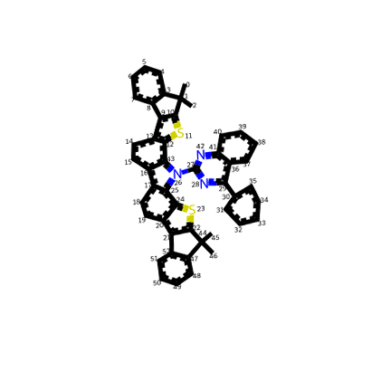 CC1(C)c2ccccc2-c2c1sc1c2ccc2c3ccc4c5c(sc4c3n(-c3nc(-c4ccccc4)c4ccccc4n3)c21)C(C)(C)c1ccccc1-5